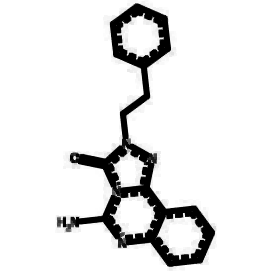 Nc1nc2ccccc2c2nn(CCc3ccccc3)c(=O)n12